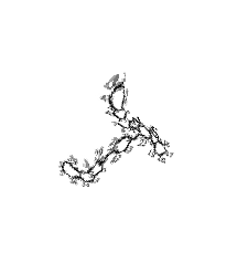 c1ccc2cc3c(ccc4c3nc3c5sc6ccccc6c5cc(-c5ccc(-c6ccc7c(ccc8ccccc87)c6)cc5)n43)cc2c1